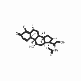 CCCC(=O)O[C@@]1(C(=O)CO)[C@@H](C)C[C@H]2[C@@H]3C[C@H](F)C4=C(F)C(=O)C=C[C@]4(C)[C@H]3[C@@H](O)C[C@@]21C